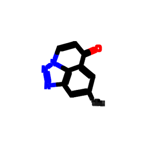 CC(C)(C)c1cc2nnn3ccc(=O)c(c1)c23